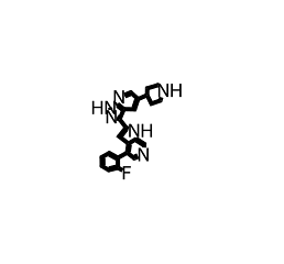 Fc1ccccc1-c1cncc2[nH]c(-c3n[nH]c4ncc(C5CCNCC5)cc34)cc12